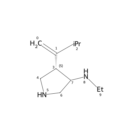 C=C(C(C)C)[C@H]1CNCC1NCC